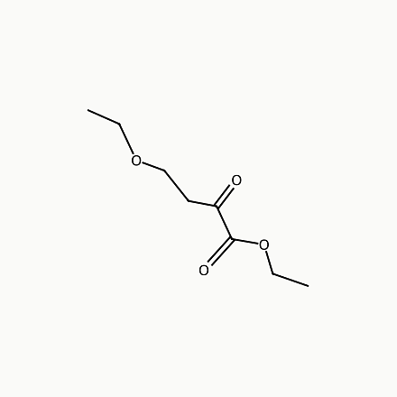 CCOCCC(=O)C(=O)OCC